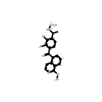 CCOc1nccc2c(C(=O)c3ccc(C(C)NC(=O)O)c(F)c3F)cccc12